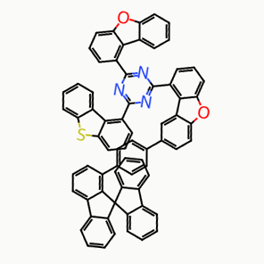 c1ccc2c(c1)-c1ccccc1C21c2ccccc2-c2cccc(-c3ccc(-c4ccc5oc6cccc(-c7nc(-c8cccc9oc%10ccccc%10c89)nc(-c8cccc9sc%10ccccc%10c89)n7)c6c5c4)cc3)c21